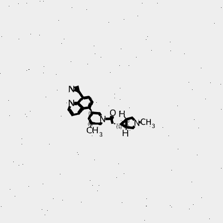 C[C@@H]1C[C@@H](c2ccc(C3=NC3)c3ncccc23)CN(C(=O)C[C@@H]2[C@H]3CN(C)C[C@@H]23)C1